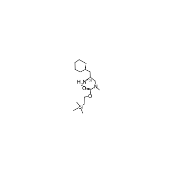 CN(C[C@@H](N)CC1CCCCC1)C(=O)OCC[Si](C)(C)C